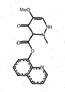 COC1=CNN(C)C(C(=O)Oc2cccc3cccnc23)C1=O